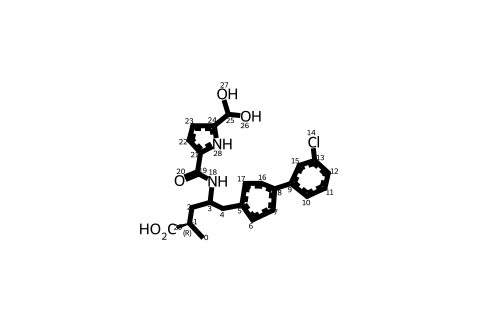 C[C@H](CC(Cc1ccc(-c2cccc(Cl)c2)cc1)NC(=O)c1ccc(C(O)O)[nH]1)C(=O)O